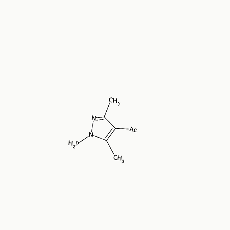 CC(=O)c1c(C)nn(P)c1C